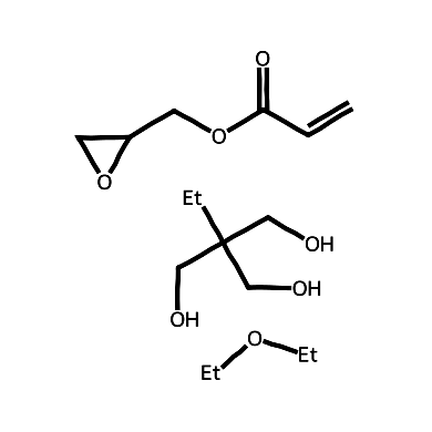 C=CC(=O)OCC1CO1.CCC(CO)(CO)CO.CCOCC